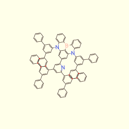 c1ccc(-c2cc(-c3ccccc3)cc(-c3cc(-c4cc(-c5ccccc5)cc(-c5ccccc5)c4)nc(-c4cc5c6c(c4)N(c4cc(-c7ccccc7)cc(-c7ccccc7)c4)c4ccccc4B6c4ccccc4N5c4cc(-c5ccccc5)cc(-c5ccccc5)c4)c3)c2)cc1